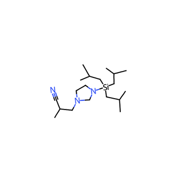 CC(C)C[Si](CC(C)C)(CC(C)C)N1CCN(CC(C)C#N)C1